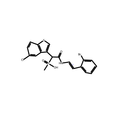 CP(=O)(O)C(C(=O)N/C=C/c1ccccc1Br)c1csc2ccc(Cl)cc12